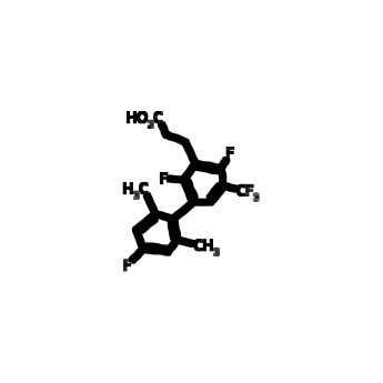 Cc1cc(F)cc(C)c1-c1cc(C(F)(F)F)c(F)c(CCC(=O)O)c1F